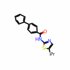 CC(C)c1cnc(NC(=O)c2ccc(-c3ccccc3)cc2)s1